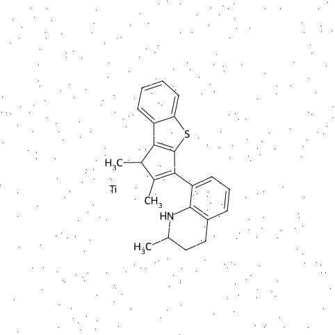 CC1=C(c2cccc3c2NC(C)CC3)c2sc3ccccc3c2C1C.[Ti]